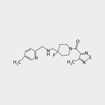 Cc1ccc(CNCC2(F)CCN(C(=O)c3nsnc3C)CC2)nc1